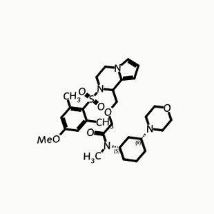 COc1cc(C)c(S(=O)(=O)N2CCn3cccc3C2COCC(=O)N(C)[C@H]2CCC[C@@H](N3CCOCC3)C2)c(C)c1